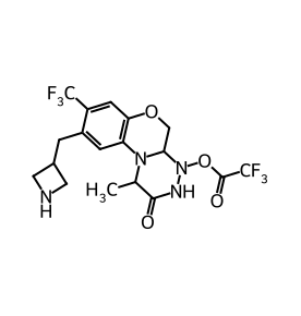 CC1C(=O)NN(OC(=O)C(F)(F)F)C2COc3cc(C(F)(F)F)c(CC4CNC4)cc3N12